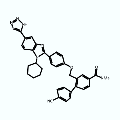 CNC(=O)c1ccc(-c2ccc(C#N)cc2)c(COc2ccc(-c3nc4cc(-c5nnn[nH]5)ccc4n3C3CCCCC3)cc2)c1